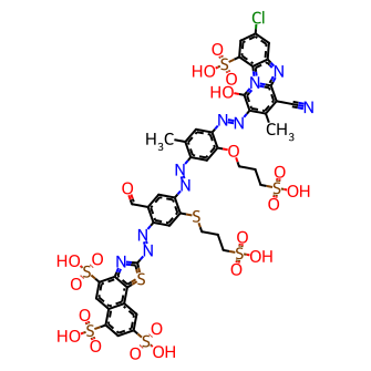 Cc1cc(N=Nc2c(C)c(C#N)c3nc4cc(Cl)cc(S(=O)(=O)O)c4n3c2O)c(OCCCS(=O)(=O)O)cc1N=Nc1cc(C=O)c(N=Nc2nc3c(S(=O)(=O)O)cc4c(S(=O)(=O)O)cc(S(=O)(=O)O)cc4c3s2)cc1SCCCS(=O)(=O)O